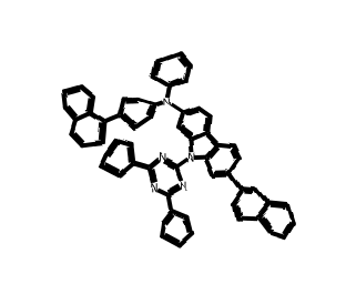 c1ccc(-c2nc(-c3ccccc3)nc(-n3c4cc(-c5ccc6ccccc6c5)ccc4c4ccc(N(c5ccccc5)c5ccc(-c6cccc7ccccc67)cc5)cc43)n2)cc1